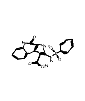 O=C(O)c1c(NS(=O)(=O)c2ccccc2)[nH]c2c(=O)[nH]c3ccccc3c12